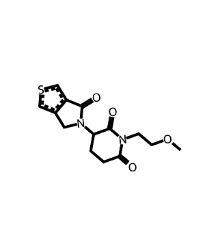 COCCN1C(=O)CCC(N2Cc3cscc3C2=O)C1=O